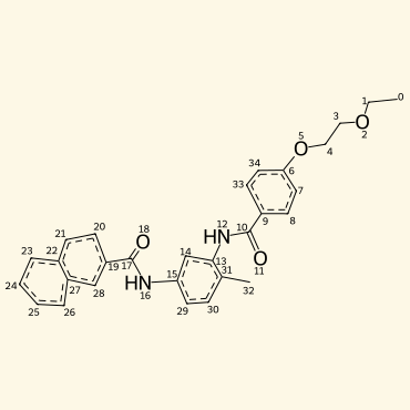 CCOCCOc1ccc(C(=O)Nc2cc(NC(=O)c3ccc4ccccc4c3)ccc2C)cc1